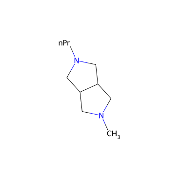 CCCN1CC2CN(C)CC2C1